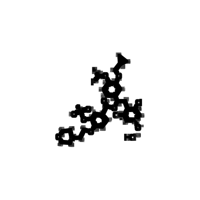 CS(=O)(=O)Oc1cc(C(=O)OC(Cc2c(Cl)c[n+]([O-])cc2Cl)c2ccc(OC(F)F)c(OCC3CC3)c2)ccc1OCCN1CCOCC1.Cl